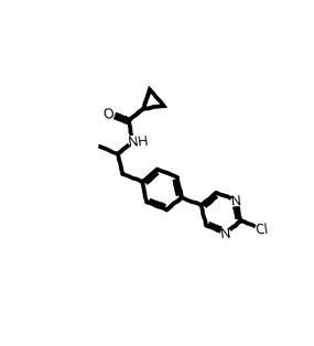 CC(Cc1ccc(-c2cnc(Cl)nc2)cc1)NC(=O)C1CC1